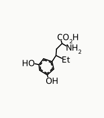 CCC(CC(N)C(=O)O)c1cc(O)cc(O)c1